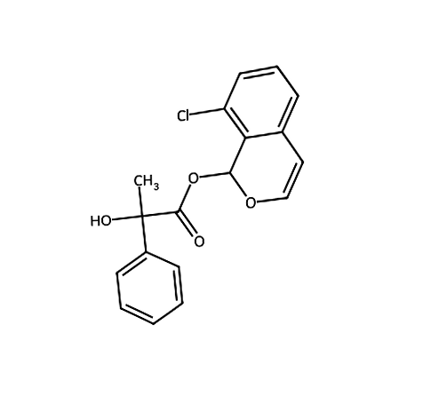 CC(O)(C(=O)OC1OC=Cc2cccc(Cl)c21)c1ccccc1